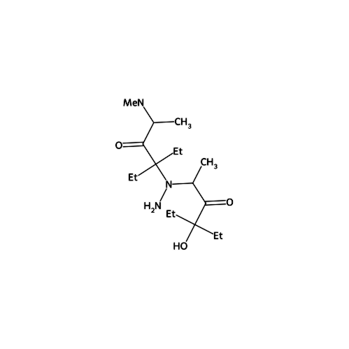 CCC(O)(CC)C(=O)C(C)N(N)C(CC)(CC)C(=O)C(C)NC